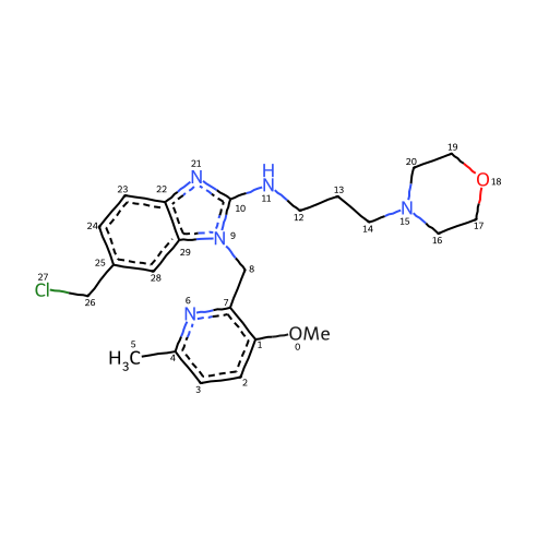 COc1ccc(C)nc1Cn1c(NCCCN2CCOCC2)nc2ccc(CCl)cc21